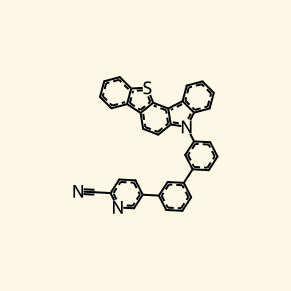 N#Cc1ccc(-c2cccc(-c3cccc(-n4c5ccccc5c5c6sc7ccccc7c6ccc54)c3)c2)cn1